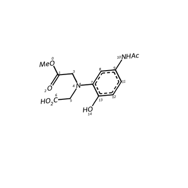 COC(=O)CN(CC(=O)O)c1cc(NC(C)=O)ccc1O